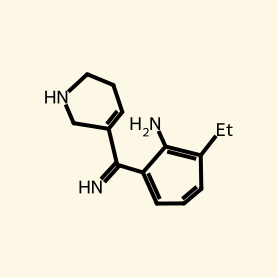 CCc1cccc(C(=N)C2=CCCNC2)c1N